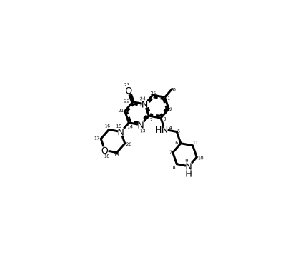 Cc1cc(NCC2CCNCC2)c2nc(N3CCOCC3)cc(=O)n2c1